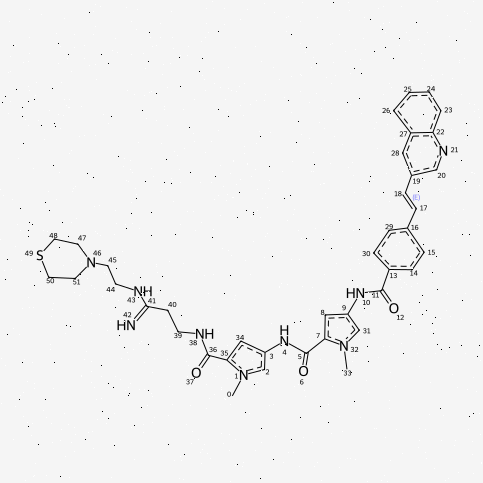 Cn1cc(NC(=O)c2cc(NC(=O)c3ccc(/C=C/c4cnc5ccccc5c4)cc3)cn2C)cc1C(=O)NCCC(=N)NCCN1CCSCC1